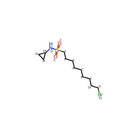 O=S(=O)(CCCCCCCCCBr)NC1CC1